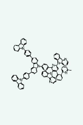 Cc1cccc(-c2ccccc2-c2cc(-n3c4ccccc4c4ncccc43)nc(-c3ccc(-n4c5ccc(-c6ccc(-n7c8ccccc8c8ccccc87)cc6)cc5c5cc(-c6ccc(-n7c8ccccc8c8ccccc87)cc6)ccc54)cc3)c2-n2c3ccccc3c3ncccc32)n1